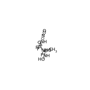 COCCOc1cc(NCCO)c(F)cc1NCC#Cc1sc2c(NC3CCC(N4CC5(CCOCC5)C4)CC3)cccc2c1CC(F)(F)F